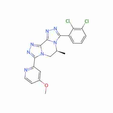 COc1ccnc(-c2nnc3n2C[C@H](C)n2c(-c4cccc(Cl)c4Cl)nnc2-3)c1